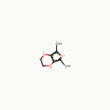 O=Cc1sc(C=O)c2c1OCCO2